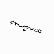 CCCCC(C)CCCCCCCCCCOCC(=O)[O-].[Na+]